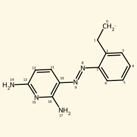 [CH2]Cc1ccccc1/N=N/c1ccc(N)nc1N